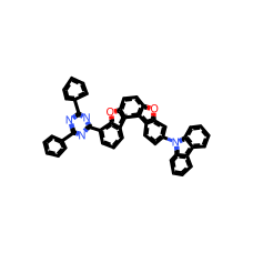 c1ccc(-c2nc(-c3ccccc3)nc(-c3cccc4c3oc3ccc5oc6cc(-n7c8ccccc8c8ccccc87)ccc6c5c34)n2)cc1